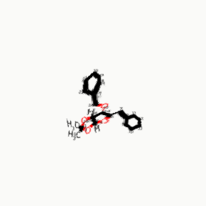 CC1(C)O[C@H]2O[C@H](C=C3CCCCC3)[C@@H](OCc3ccccc3)[C@H]2O1